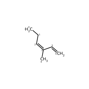 [CH2]CC=C(C)C=C